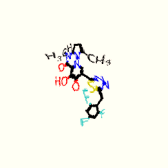 C[C@@H]1CC[C@@H]2N(C)C(=O)c3c(O)c(=O)c(-c4nnc(CC5C(F)=CC(F)=CC5F)s4)cn3N12